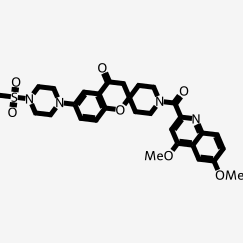 COc1ccc2nc(C(=O)N3CCC4(CC3)CC(=O)c3cc(N5CCN(S(C)(=O)=O)CC5)ccc3O4)cc(OC)c2c1